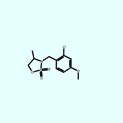 COc1ccc(CN2C(C)COS2(=O)=O)c(Cl)c1